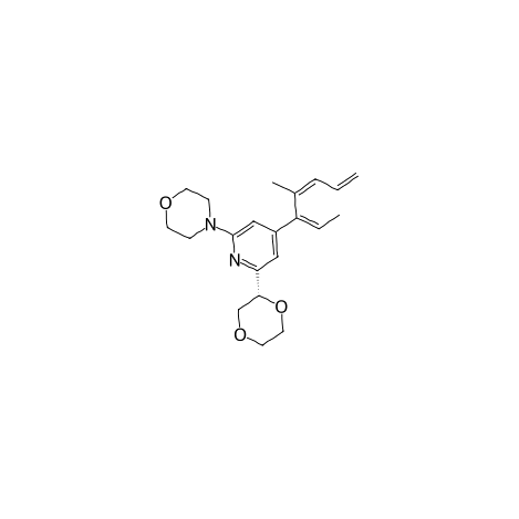 C=C/C=C(C)\C(=C/C)c1cc([C@H]2COCCO2)nc(N2CCOCC2)c1